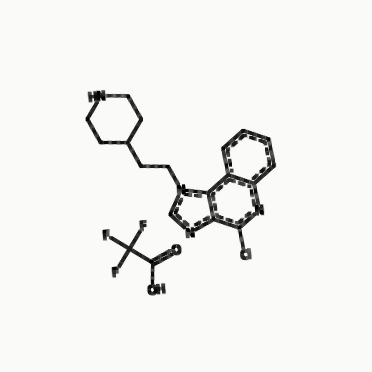 Clc1nc2ccccc2c2c1ncn2CCC1CCNCC1.O=C(O)C(F)(F)F